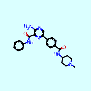 CN1CCC(NC(=O)c2ccc(-c3cnc(N)c(C(=O)Nc4ccccc4)n3)cc2)CC1